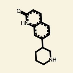 O=c1ccc2ccc(C3CCCNC3)cc2[nH]1